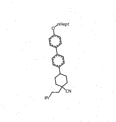 CCCCCCCOc1ccc(-c2ccc(C3CCC(C#N)(CCC(C)C)CC3)cc2)cc1